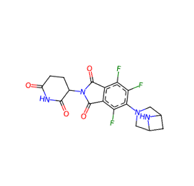 O=C1CCC(N2C(=O)c3c(F)c(F)c(N4CC5CC(C4)N5)c(F)c3C2=O)C(=O)N1